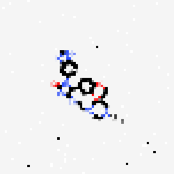 CN1CCCN(CC/N=C2/NC(=O)N(c3ccc4[nH]cnc4c3)C2c2ccc3c(c2)OCCO3)CC1